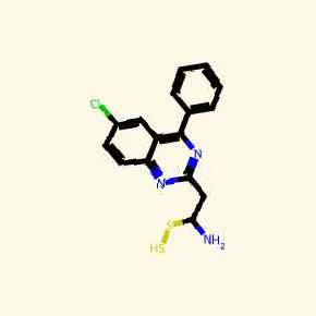 NC(Cc1nc(-c2ccccc2)c2cc(Cl)ccc2n1)SS